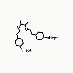 CCCCCCCC1CCC(CCOC(C)C(C)OCCC2CCC(CCCCCCC)CC2)CC1